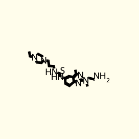 CCN1CCN(CCCNC(=S)Nc2ccc3nc(N(C)CCN)nc(C)c3c2)CC1